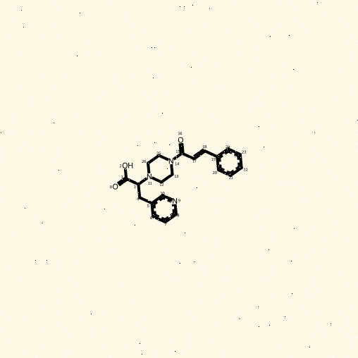 O=C(O)C(Cc1cccnc1)N1CCN(C(=O)C=Cc2ccccc2)CC1